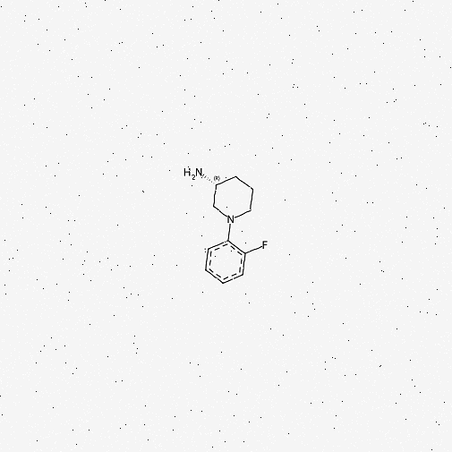 N[C@@H]1CCCN(c2[c]cccc2F)C1